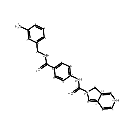 Nc1cccc(CNC(=O)c2ccc(NC(=O)N3C=C4C=CNC=C4C3)cc2)c1